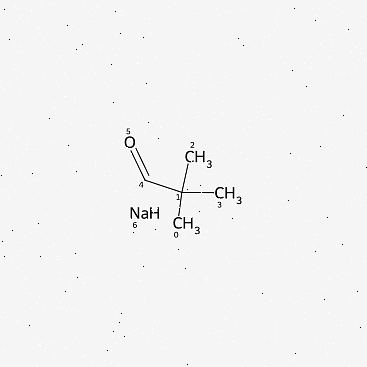 CC(C)(C)C=O.[NaH]